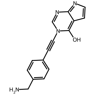 NCc1ccc(C#Cn2cnc3nccc-3c2O)cc1